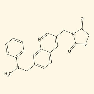 CN(Cc1ccc2cc(CN3C(=O)CSC3=O)cnc2c1)c1ccccc1